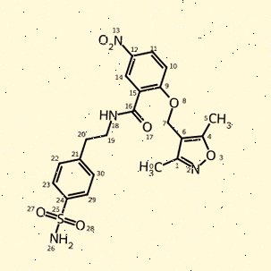 Cc1noc(C)c1COc1ccc([N+](=O)[O-])cc1C(=O)NCCc1ccc(S(N)(=O)=O)cc1